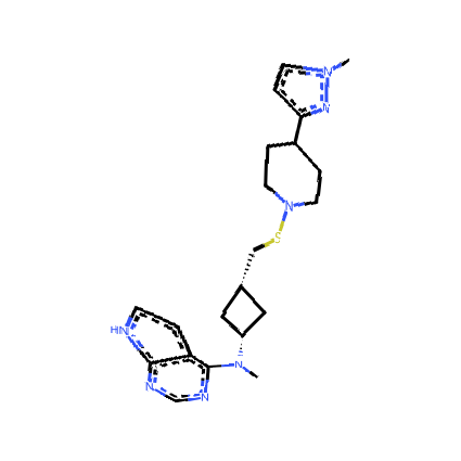 Cn1ccc(C2CCN(SC[C@H]3C[C@@H](N(C)c4ncnc5[nH]ccc45)C3)CC2)n1